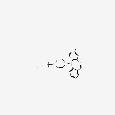 [2H]C([2H])(C)N1CCN(N2c3ccccc3C=Nc3cc(Cl)ccc32)CC1